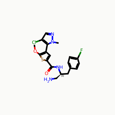 COc1sc(C(=O)N[C@H](CN)Cc2ccc(F)cc2)cc1-c1c(Cl)cnn1C